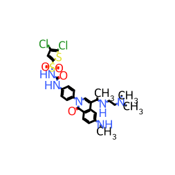 CNc1ccc2c(=O)n(-c3ccc(NC(=O)NS(=O)(=O)c4cc(Cl)c(Cl)s4)cc3)cc(C(C)NCCN(C)C)c2c1